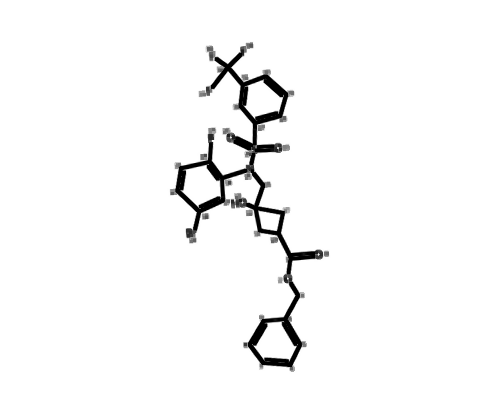 O=C(OCc1ccccc1)C1CC(O)(CN(c2cc(Br)ccc2F)S(=O)(=O)c2cccc(C(F)(F)F)c2)C1